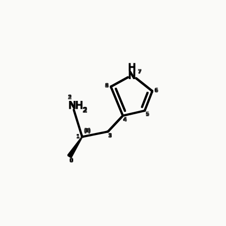 C[C@@H](N)Cc1cc[nH]c1